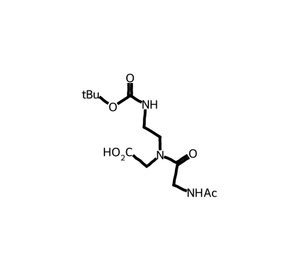 CC(=O)NCC(=O)N(CCNC(=O)OC(C)(C)C)CC(=O)O